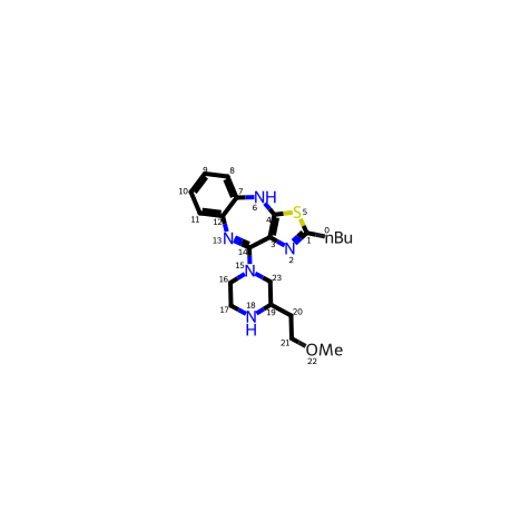 CCCCc1nc2c(s1)Nc1ccccc1N=C2N1CCNC(CCOC)C1